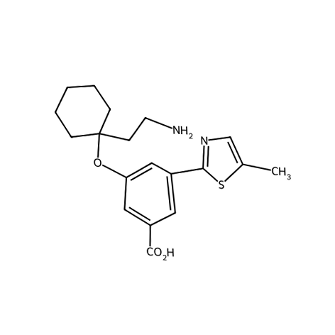 Cc1cnc(-c2cc(OC3(CCN)CCCCC3)cc(C(=O)O)c2)s1